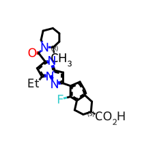 CCc1cc(C(=O)N2CCCCC[C@H]2C)nc2cc(-c3ccc4c(c3F)CC[C@H](C(=O)O)C4)nn12